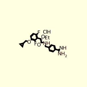 CCO[C@H](C(=O)NCc1ccc(C(=N)N)cc1)c1c(F)ccc(OCC2CC2)c1F.Cl